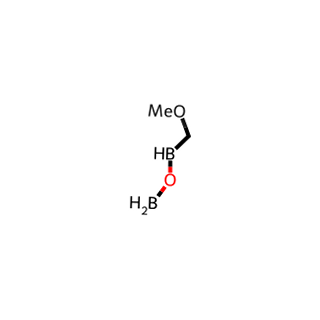 BOBCOC